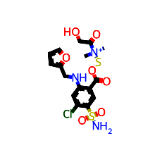 C[N+](C)(SOC(=O)c1cc(S(N)(=O)=O)c(Cl)cc1NCc1ccco1)C(=O)CO